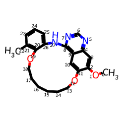 COc1cc2ncnc3c2cc1OCCCCCCOc1c(C)cccc1N3